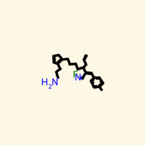 C=CCC(CCCCC1=C(CCCN)C=CC1)C(/C=N\F)=C/c1ccc(C)cc1